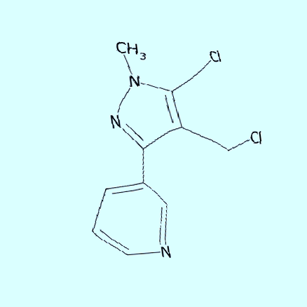 Cn1nc(-c2cccnc2)c(CCl)c1Cl